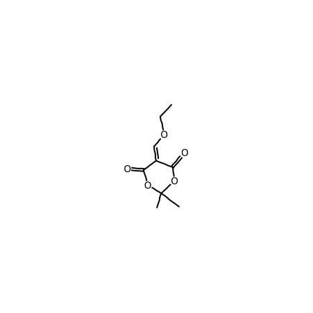 CCOC=C1C(=O)OC(C)(C)OC1=O